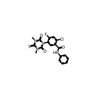 Cn1c(=S)n(C)c(=O)n(-c2cc(C(=O)Nc3ccccc3)c(Cl)cc2F)c1=O